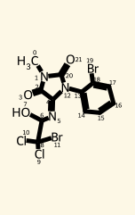 CN1C(=O)C(=NC(O)C(Cl)(Cl)Br)N(c2ccccc2Br)C1=O